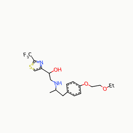 CCOCCOc1ccc(CC(C)NCC(O)c2csc(C(F)(F)F)n2)cc1